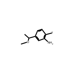 COC(C)c1ccc(F)c(N)c1